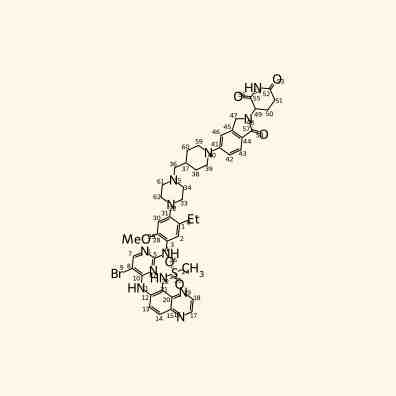 CCc1cc(Nc2ncc(Br)c(Nc3ccc4nccnc4c3NS(C)(=O)=O)n2)c(OC)cc1N1CCN(CC2CCN(c3ccc4c(c3)CN(C3CCC(=O)NC3=O)C4=O)CC2)CC1